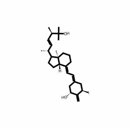 C=C1[C@H](O)C/C(=C\C=C2/CCC[C@]3(C)C([C@H](C)/C=C/[C@@H](C)C(C)(C)O)CC[C@@H]23)C[C@H]1I